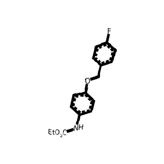 CCOC(=O)Nc1ccc(OCc2ccc(F)cc2)cc1